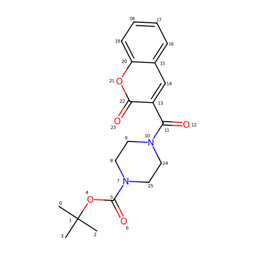 CC(C)(C)OC(=O)N1CCN(C(=O)c2cc3ccccc3oc2=O)CC1